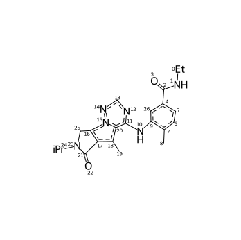 CCNC(=O)c1ccc(C)c(Nc2ncnn3c4c(c(C)c23)C(=O)N(C(C)C)C4)c1